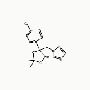 CC1(C)OC(=O)C(Cn2cncn2)(c2ccc(Cl)cc2)O1